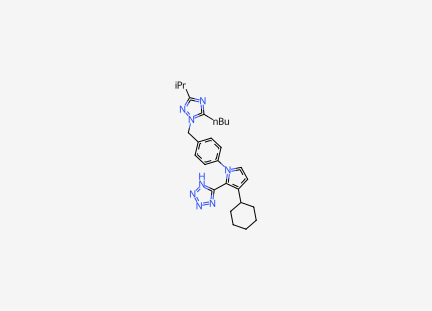 CCCCc1nc(C(C)C)nn1Cc1ccc(-n2ccc(C3CCCCC3)c2-c2nnn[nH]2)cc1